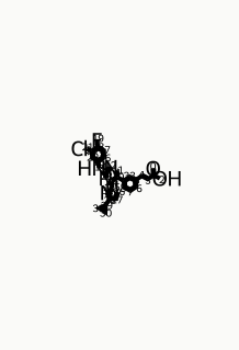 O=C(O)C=Cc1cccc(-c2cnc(Nc3ccc(F)c(Cl)c3)nc2-n2ccc(C3CC3)n2)c1